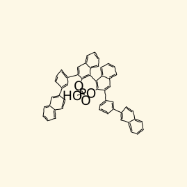 O=P1(O)Oc2c(-c3cccc(-c4ccc5ccccc5c4)c3)cc3ccccc3c2-c2c(c(-c3cccc(-c4ccc5ccccc5c4)c3)cc3ccccc23)O1